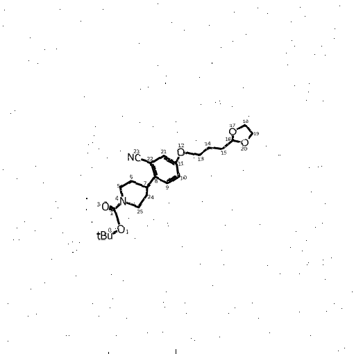 CC(C)(C)OC(=O)N1CCC(c2ccc(OCCCC3OCCO3)cc2C#N)CC1